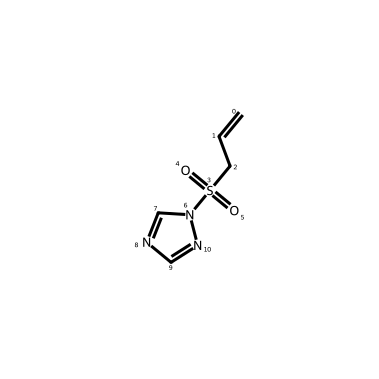 C=CCS(=O)(=O)n1cncn1